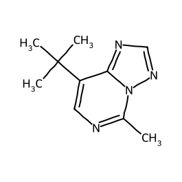 Cc1ncc(C(C)(C)C)c2ncnn12